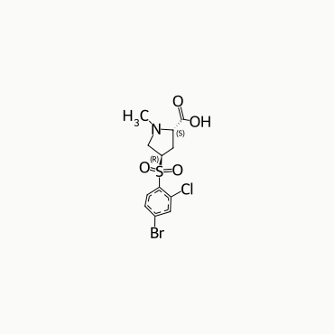 CN1C[C@H](S(=O)(=O)c2ccc(Br)cc2Cl)C[C@H]1C(=O)O